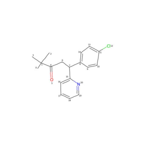 CC(C)(C)C(=O)CC(c1ccc(Cl)cc1)c1ccccn1